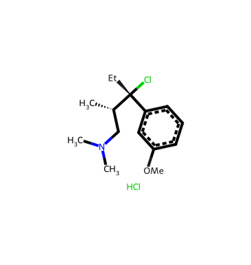 CC[C@@](Cl)(c1cccc(OC)c1)[C@@H](C)CN(C)C.Cl